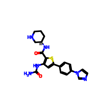 NC(=O)Nc1cc(-c2ccc(-n3ccnc3)cc2)sc1C(=O)N[C@H]1CCCNC1